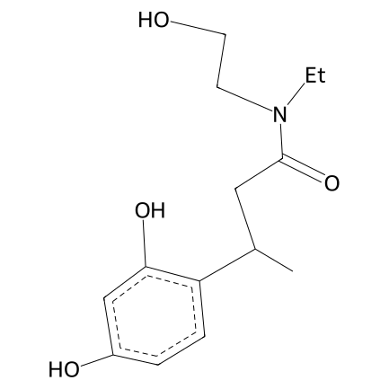 CCN(CCO)C(=O)CC(C)c1ccc(O)cc1O